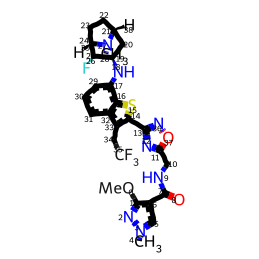 COc1nn(C)cc1C(=O)NCc1nc(-c2sc3c(N[C@@H]4C[C@H]5CC[C@@H]([C@@H]4F)N5C)cccc3c2CC(F)(F)F)no1